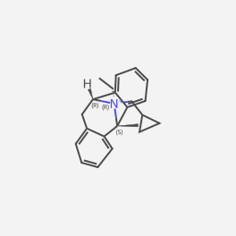 CC[N@@+]1(CC2CC2)[C@@H]2Cc3ccccc3[C@@]1(C)c1ccccc12